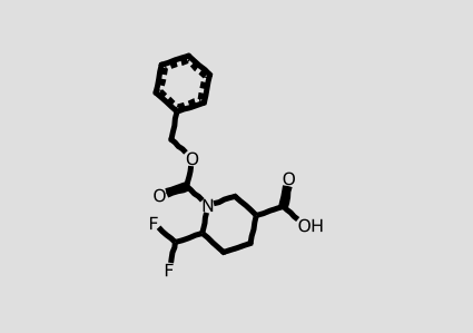 O=C(O)C1CCC(C(F)F)N(C(=O)OCc2ccccc2)C1